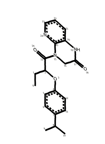 CCC(Oc1ccc(C(C)C)cc1)C(=O)N1CC(=O)Nc2cccnc21